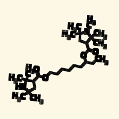 CCC(CCCCCCOC(=O)C1CC(C)(C)NC1(C)C)OC(=O)C1CC(C)(C)N(C)C1(C)C